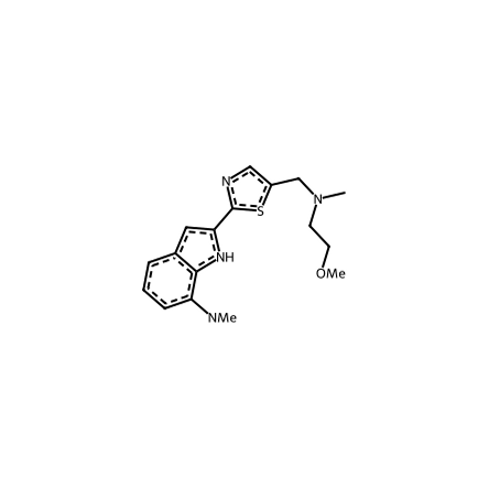 CNc1cccc2cc(-c3ncc(CN(C)CCOC)s3)[nH]c12